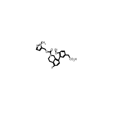 CCOc1ccc(CC(=O)O)cc1-c1ccc(F)c2c1CN(C(=O)OCc1ccnn1C)CC2